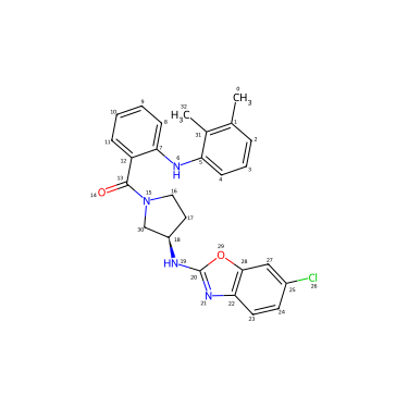 Cc1cccc(Nc2ccccc2C(=O)N2CC[C@@H](Nc3nc4ccc(Cl)cc4o3)C2)c1C